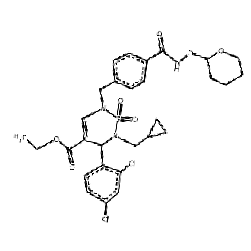 CCOC(=O)C1=CN(Cc2ccc(C(=O)NOC3CCCCO3)cc2)S(=O)(=O)N(CC2CC2)C1c1ccc(Cl)cc1Cl